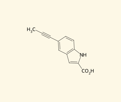 CC#Cc1ccc2[nH]c(C(=O)O)cc2c1